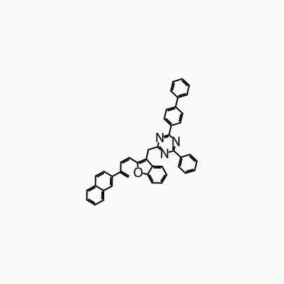 C=C(/C=C\c1oc2ccccc2c1Cc1nc(-c2ccccc2)nc(-c2ccc(-c3ccccc3)cc2)n1)c1ccc2ccccc2c1